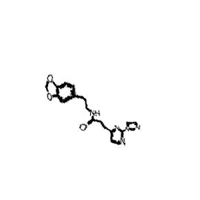 O=C(CCc1ccnc(-n2ccnc2)n1)NCCc1ccc2c(c1)OCO2